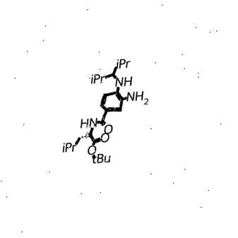 CC(C)C[C@H](NC(=O)c1ccc(NC(C(C)C)C(C)C)c(N)c1)C(=O)OC(C)(C)C